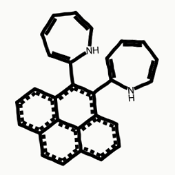 C1=CC=C(c2c(C3=CC=CC=CN3)c3cccc4ccc5cccc2c5c43)NC=C1